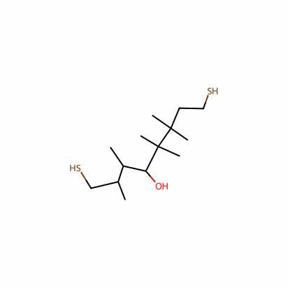 CC(CS)C(C)C(O)C(C)(C)C(C)(C)CCS